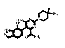 CC1(N)CCN(c2nc(N)c(-c3ccc4cn[nH]c4c3Cl)c(C(N)=O)n2)CC1